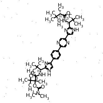 C[C@H](C(=O)N[C@H](c1nc(-c2cnc(-c3ccc(-c4c[nH]c([C@@H](NC(=O)[C@](C)(OC(=O)N(C)C)C(C)(C)C)C(C)(C)C)n4)cc3)cn2)c[nH]1)C(C)(C)C)C(C)(C)C